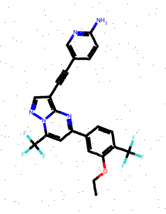 CCOc1cc(-c2cc(C(F)(F)F)n3ncc(C#Cc4ccc(N)nc4)c3n2)ccc1C(F)(F)F